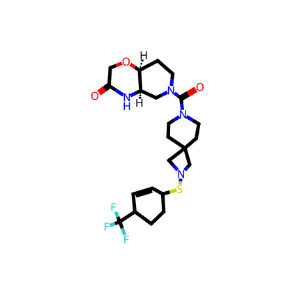 O=C1CO[C@H]2CCN(C(=O)N3CCC4(CC3)CN(SC3C=CC(C(F)(F)F)CC3)C4)C[C@H]2N1